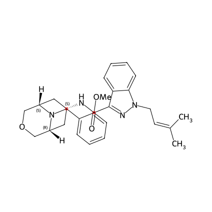 COc1ccccc1CN1[C@@H]2COC[C@H]1C[C@@H](NC(=O)c1nn(CC=C(C)C)c3ccccc13)C2